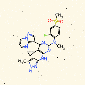 Cc1cc(Nc2nc(N(C)c3ccc(S(C)(=O)=O)cc3F)nc(-c3cnn4cccnc34)c2C2CC2)n[nH]1